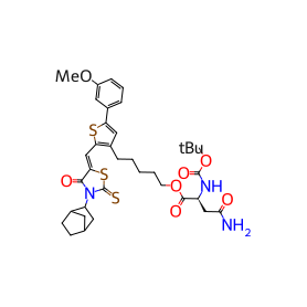 COc1cccc(-c2cc(CCCCCOC(=O)[C@H](CC(N)=O)NC(=O)OC(C)(C)C)c(/C=C3\SC(=S)N(C4CC5CCC4C5)C3=O)s2)c1